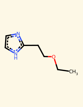 CCOCCc1ncc[nH]1